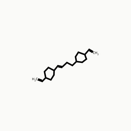 C=CC1CCC(C=CCCC2CCC(C=C)CC2)CC1